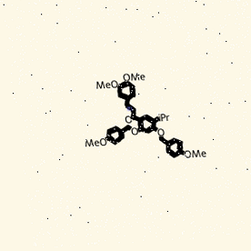 COc1ccc(COc2cc(OCc3ccc(OC)cc3)c(C(C)C)cc2C(=O)/C=C/c2ccc(OC)c(OC)c2)cc1